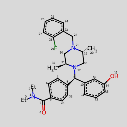 CCN(CC)C(=O)c1ccc([C@H](c2cccc(O)c2)N2C[C@@H](C)N(Cc3ccccc3F)C[C@@H]2C)cc1